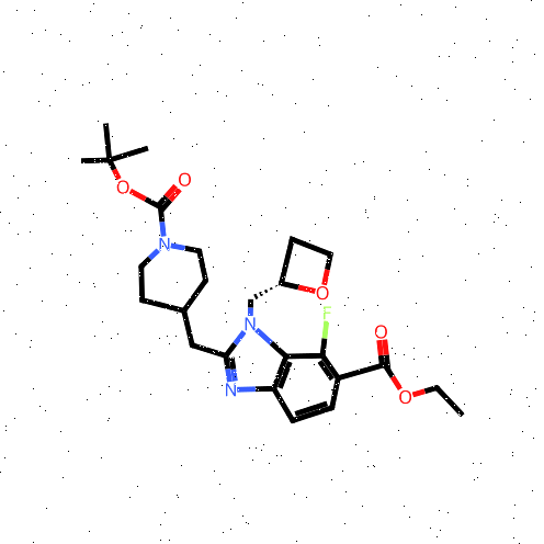 CCOC(=O)c1ccc2nc(CC3CCN(C(=O)OC(C)(C)C)CC3)n(C[C@@H]3CCO3)c2c1F